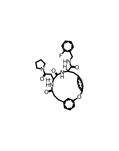 O=C1CCc2cccc(c2)Oc2ccc(cc2)C[C@@H](C(=O)NCc2ccccc2F)NC(=O)[C@H](CC(=O)N2CCCC2)N1